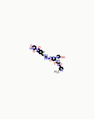 Cc1cc(-c2nc(C(=O)Nc3cc4oc(NCCNCc5cc6c(cc5F)C(=O)N(C5CCC(=O)NC5=O)C6)nc4nc3N3CC[C@@H](O)C3)co2)ccn1